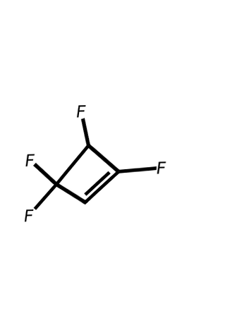 FC1=CC(F)(F)C1F